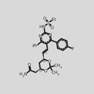 CCS(=O)(=O)Nc1nc(-c2ccc(F)cc2)c(/C=C/[C@@H]2C[C@H](CC(N)=O)OC(C)(C)O2)c(C(C)C)n1